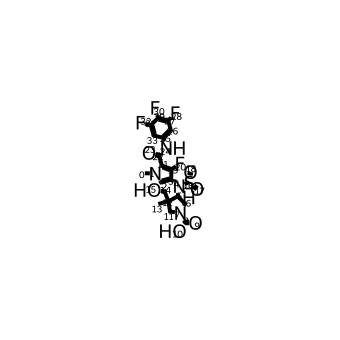 Cn1cc(N(C2CN(C(=O)O)CC2(C)CO)[SH](=O)=O)c(F)c1C(=O)Nc1cc(F)c(F)c(F)c1